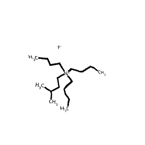 CCCC[N+](CCCC)(CCCC)CCC(C)C.[F-]